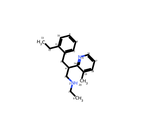 CCNCC(Cc1ccccc1CC)c1ncccc1C